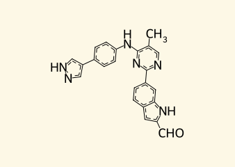 Cc1cnc(-c2ccc3cc(C=O)[nH]c3c2)nc1Nc1ccc(-c2cn[nH]c2)cc1